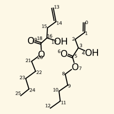 C=CCC(O)C(=O)OCCCCC.C=CCC(O)C(=O)OCCCCC